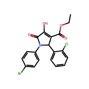 CCOC(=O)C1=C(O)C(=O)N(c2ccc(Br)cc2)C1c1ccccc1Cl